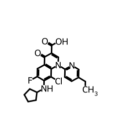 CCc1ccc(-n2cc(C(=O)O)c(=O)c3cc(F)c(NC4CCCC4)c(Cl)c32)nc1